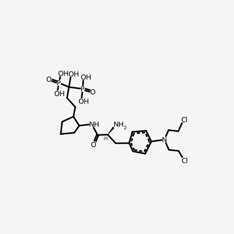 N[C@@H](Cc1ccc(N(CCCl)CCCl)cc1)C(=O)NC1CCCC1CCC(O)(P(=O)(O)O)P(=O)(O)O